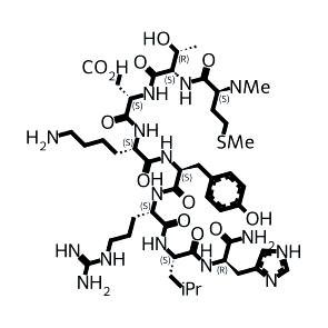 CN[C@@H](CCSC)C(=O)N[C@H](C(=O)N[C@@H](CC(=O)O)C(=O)N[C@@H](CCCCN)C(=O)N[C@@H](Cc1ccc(O)cc1)C(=O)N[C@@H](CCCNC(=N)N)C(=O)N[C@@H](CC(C)C)C(=O)N[C@H](Cc1c[nH]cn1)C(N)=O)[C@@H](C)O